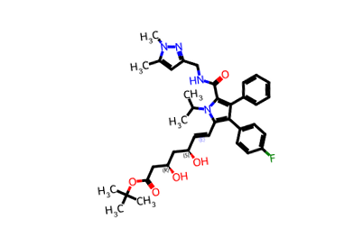 Cc1cc(CNC(=O)c2c(-c3ccccc3)c(-c3ccc(F)cc3)c(/C=C/[C@@H](O)C[C@@H](O)CC(=O)OC(C)(C)C)n2C(C)C)nn1C